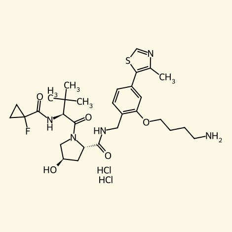 Cc1ncsc1-c1ccc(CNC(=O)[C@@H]2C[C@@H](O)CN2C(=O)[C@@H](NC(=O)C2(F)CC2)C(C)(C)C)c(OCCCCN)c1.Cl.Cl